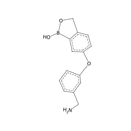 NCc1cccc(Oc2ccc3c(c2)B(O)OC3)c1